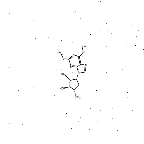 CCCCNc1nc(SCCC)nc2c1nnn2[C@@H]1C[C@H](N)[C@@H](O)[C@H]1O